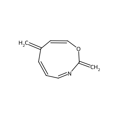 C=c1cccnc(=C)occ1